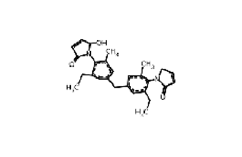 CCc1cc(Cc2cc(C)c(N3C(=O)C=CC3O)c(CC)c2)cc(C)c1N1CC=CC1=O